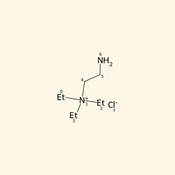 CC[N+](CC)(CC)CCN.[Cl-]